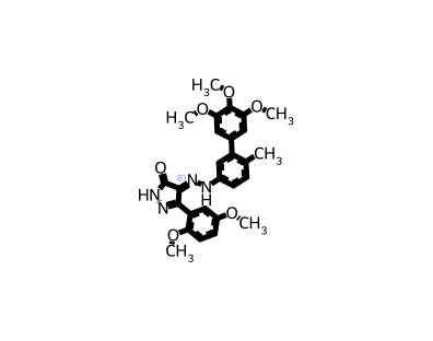 COc1ccc(OC)c(C2=NNC(=O)/C2=N/Nc2ccc(C)c(-c3cc(OC)c(OC)c(OC)c3)c2)c1